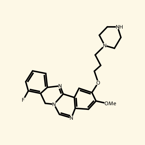 COc1cc2c(cc1OCCCN1CCNCC1)C1=Nc3cccc(F)c3CN1C=N2